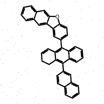 C1=Cc2c(c(-c3ccc4ccccc4c3)c3ccccc3c2-c2ccc3oc4cc5ccccc5cc4c3c2)CC1